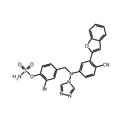 N#Cc1ccc(N(Cc2ccc(OS(N)(=O)=O)c(Br)c2)n2cnnc2)cc1-c1cc2ccccc2o1